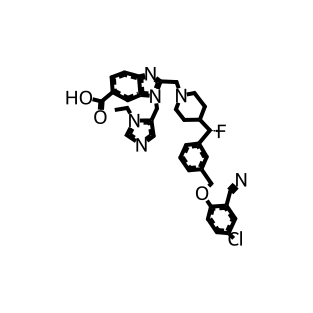 CCn1cncc1Cn1c(CN2CCC([C@H](F)c3cccc(COc4ccc(Cl)cc4C#N)c3)CC2)nc2ccc(C(=O)O)cc21